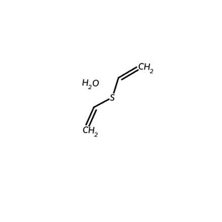 C=CSC=C.O